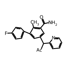 CC(=O)C(c1cc(C(N)=O)c(C)c(-c2ccc(F)cc2)c1)c1ccccn1